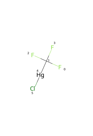 F[C](F)(F)[Hg][Cl]